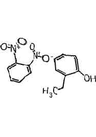 CCc1ccccc1O.O=[N+]([O-])c1ccccc1[N+](=O)[O-]